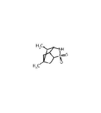 CC1C2NS(=O)(=O)C3CC1(C)CC23